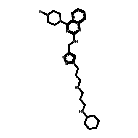 CCN1CCN(c2nc(NCc3cn(CCCNCCCNC4CCCCC4)nn3)nc3ccccc23)CC1